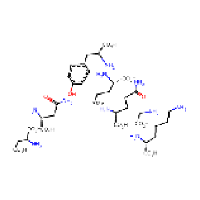 CSCC[C@H](N)C(=O)O.NC(=O)CC[C@H](N)C(=O)O.NC(=O)C[C@H](N)C(=O)O.NCC(=O)O.NCCCC[C@H](N)C(=O)O.N[C@@H](CC(=O)O)C(=O)O.N[C@@H](Cc1ccc(O)cc1)C(=O)O